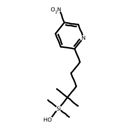 CC(C)(CCCc1ccc([N+](=O)[O-])cn1)[Si](C)(C)O